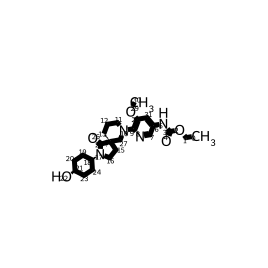 CCOC(=O)Nc1cnc(N2CCC[C@@]3(CCN([C@H]4CC[C@H](O)CC4)C3=O)C2)c(OC)c1